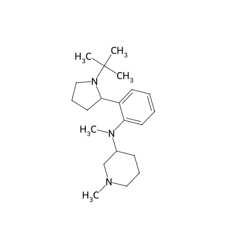 CN1CCCC(N(C)c2ccccc2C2CCCN2C(C)(C)C)C1